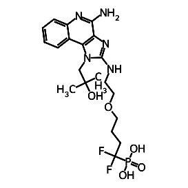 CC(C)(O)Cn1c(NCCOCCCC(F)(F)P(=O)(O)O)nc2c(N)nc3ccccc3c21